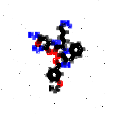 COc1cccc(C(=O)N[C@@H](Cc2ccccc2)C(=O)N[C@@H](CCCCN)C(=O)N[C@@H](CC(N)=O)C(N)=O)c1